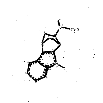 CN(C=O)C1CC2CCC1c1c2c2ccccc2n1C